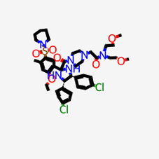 CCOc1cc(C)c(S(=O)(=O)N2CCCCC2)cc1C1(C(=O)N2CCN(CC(=O)N(CCOC)CCOC)CC2)N[C@H](c2ccc(Cl)cc2)[C@H](c2ccc(Cl)cc2)N1